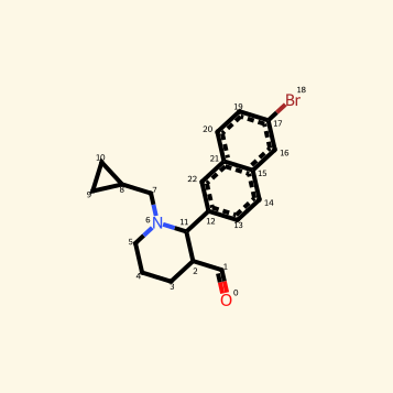 O=CC1CCCN(CC2CC2)C1c1ccc2cc(Br)ccc2c1